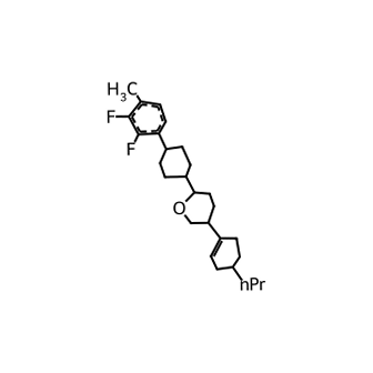 CCCC1CC=C(C2CCC(C3CCC(c4ccc(C)c(F)c4F)CC3)OC2)CC1